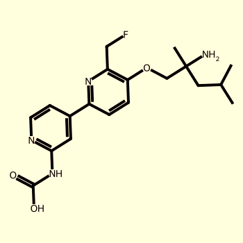 CC(C)CC(C)(N)COc1ccc(-c2ccnc(NC(=O)O)c2)nc1CF